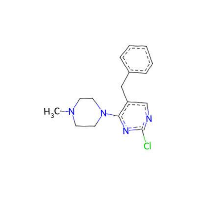 CN1CCN(c2nc(Cl)ncc2Cc2ccccc2)CC1